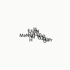 CNc1cc(F)c(F)c2c1[nH]c1ncc(-c3ccc4ccc(C(=O)OC(C)OC(=O)OC(C)C)c(=O)n4c3)c(N3CC[C@H]4CN(C)CC43)c12